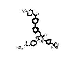 CN1CCN(C(=O)c2ccc(-c3cccc(C[C@H](NC(=O)[C@H]4CC[C@H](CNC(=O)O)CC4)C(=O)Nc4ccc(-c5nnn[nH]5)cc4)c3)cc2)CC1